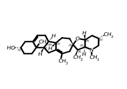 CC1=C2C[C@H]3[C@@H](CC=C4C[C@@H](O)CCC43C)[C@@H]2CC[C@@]2(C1)O[C@@H]1C[C@H](C)CN(C)[C@H]1[C@H]2C